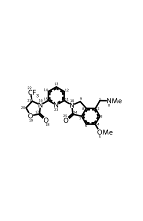 CNCc1cc(OC)cc2c1CN(c1cccc(N3C(=O)OC[C@H]3C(F)(F)F)n1)C2=O